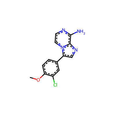 COc1ccc(-c2cnc3c(N)nccn23)cc1Cl